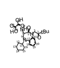 CC(C)(C)C(=O)CN1C(=O)C(N)CN(C2CCCCC2)c2ccccc21.O=C(O)C(=O)O